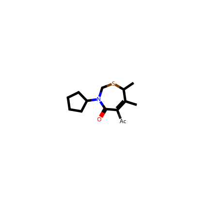 CC(=O)C1=C(C)C(C)SCN(C2CCCC2)C1=O